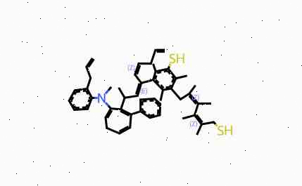 C=CC/C=C\C(=C/C(C)C1=C(c2ccccc2)C=CCC=C1N(C)c1ccccc1CC=C)c1c(C)c(S)c(C)c(C/C(C)=C(C)\C(C)=C(\C)CS)c1C